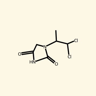 CC(C(Cl)Cl)N1CC(=O)NC1=O